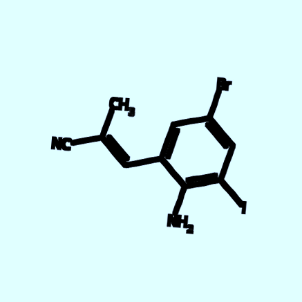 C/C(C#N)=C\c1cc(Br)cc(I)c1N